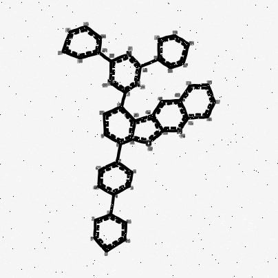 c1ccc(-c2ccc(-c3ccc(-c4nc(-c5ccccc5)nc(-c5ccccc5)n4)c4c3oc3nc5ccccc5cc34)cc2)cc1